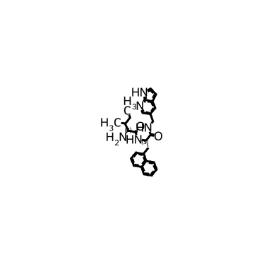 CCC(C)[C@@H](N)C(=O)N[C@@H](Cc1cccc2ccccc12)C(=O)NCc1cnc2[nH]ccc2c1